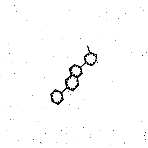 Cc1cncc(-c2ccc3cc(-c4ccccc4)ccc3c2)c1